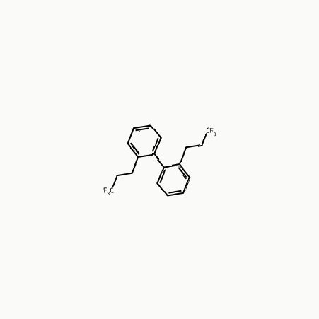 FC(F)(F)CCc1ccccc1-c1ccccc1CCC(F)(F)F